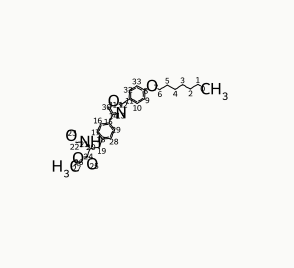 CCCCCCCOc1ccc(-c2nc(-c3ccc(CC(NC=O)C(=O)OC)cc3)co2)cc1